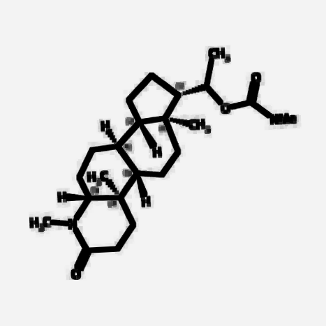 CNC(=O)OC(C)[C@H]1CC[C@H]2[C@@H]3CC[C@H]4N(C)C(=O)CC[C@]4(C)[C@H]3CC[C@]12C